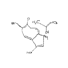 CC(=O)O.Oc1c[nH]c2cc(Cl)c(Br)cc12